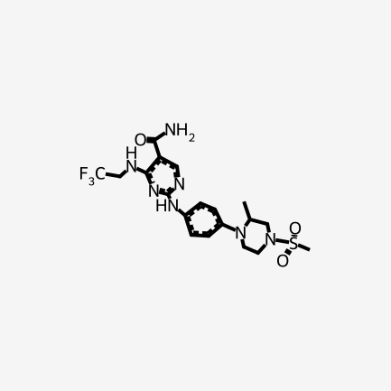 CC1CN(S(C)(=O)=O)CCN1c1ccc(Nc2ncc(C(N)=O)c(NCC(F)(F)F)n2)cc1